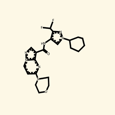 O=C(Nc1cn(C2CCCCC2)nc1C(F)F)c1cnn2ccc(N3CCOCC3)nc12